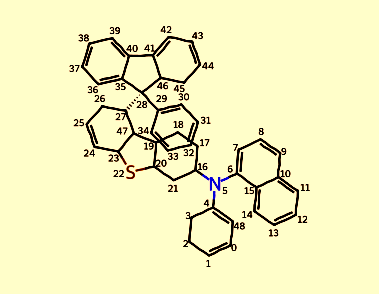 C1=CCCC(N(c2cccc3ccccc23)C2CCC3C(C2)SC2C=CCC([C@]4(c5ccccc5)c5ccccc5C5=CC=CCC54)C23)=C1